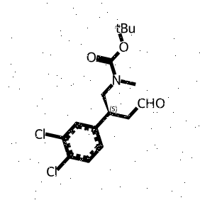 CN(C[C@@H](CC=O)c1ccc(Cl)c(Cl)c1)C(=O)OC(C)(C)C